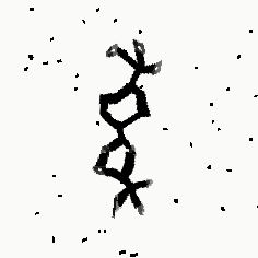 FC(F)(F)c1nc(-c2ccc(C(Cl)(Cl)Cl)cc2)no1